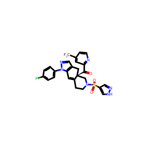 O=C(c1cc(C(F)(F)F)ccn1)[C@]12Cc3cnn(-c4ccc(F)cc4)c3C=C1CCN(S(=O)(=O)c1cn[nH]c1)C2